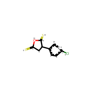 S=C1CC(c2ccc(Cl)cc2)C(=S)O1